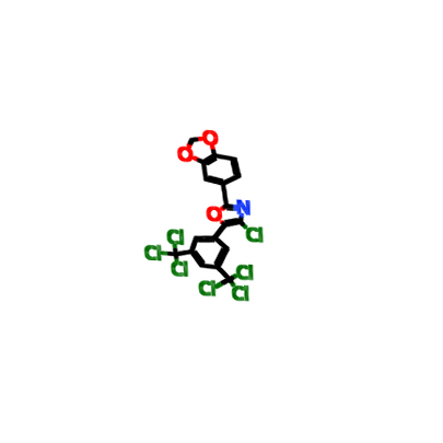 Clc1nc(-c2ccc3c(c2)OCO3)oc1-c1cc(C(Cl)(Cl)Cl)cc(C(Cl)(Cl)Cl)c1